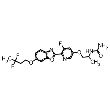 C[C@@H](COc1cnc(-c2nc3ccc(OCCC(C)(F)F)cc3o2)c(F)c1)NC(N)=O